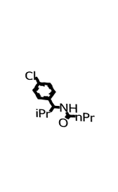 CCCC(=O)NC(c1ccc(Cl)cc1)C(C)C